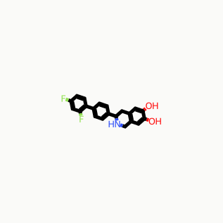 Oc1cc2c(cc1O)CC(c1ccc(-c3ccc(F)cc3F)cc1)NC2